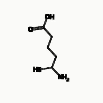 NC(S)CCCC(=O)O